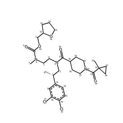 C[C@H](CN(CCN(C)C(=O)OCC1CCCO1)C(=O)C1CCN(C(=O)C2(C)CC2)CC1)c1ccc(Cl)c(Cl)c1